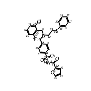 O=C(NS(=O)(=O)c1ccc(CN(CCSc2ccccc2)Cc2c(F)cccc2Cl)cc1)c1ccco1